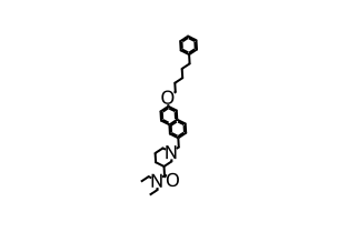 CCN(CC)C(=O)C1CCCN(Cc2ccc3cc(OCCCCCc4ccccc4)ccc3c2)C1